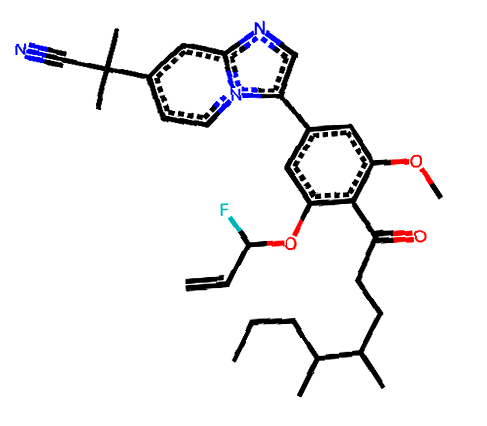 C=CC(F)Oc1cc(-c2cnc3cc(C(C)(C)C#N)ccn23)cc(OC)c1C(=O)CCC(C)C(C)CCC